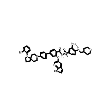 O=C(NS(=O)(=O)c1ccc(NCC2CCOCC2)c([N+](=O)[O-])c1)c1ccc(-c2ccc(N3CCC4(CCCN4c4ccccc4Br)CC3)cc2)cc1Oc1cnc2[nH]ccc2c1